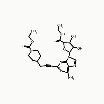 CCNC(=O)C1OC(n2cnc3c(N)nc(C#CCC4CCN(C(=O)OCC)CC4)nc32)C(O)C1O